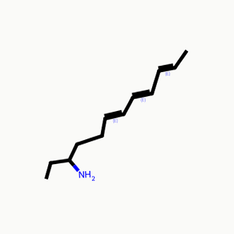 C/C=C/C=C/C=C/CCC(N)CC